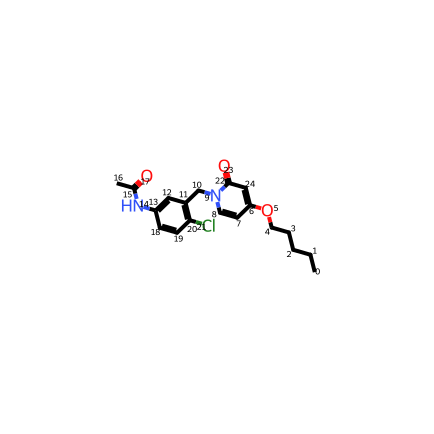 CCCCCOc1ccn(Cc2cc(NC(C)=O)ccc2Cl)c(=O)c1